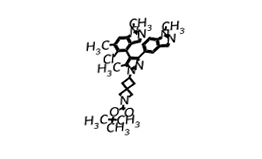 Cc1cc2c(cnn2C)c(-c2c(-c3ccc4c(cnn4C)c3)nn(C3CC4(C3)CN(C(=O)OC(C)(C)C)C4)c2C)c1Cl